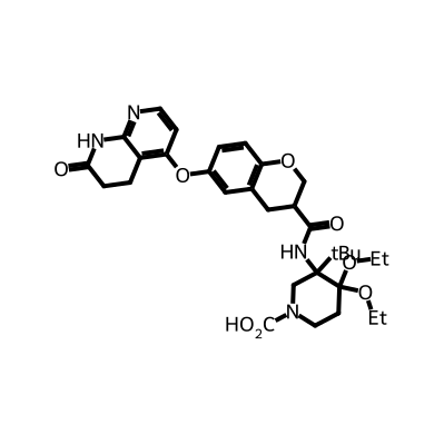 CCOC1(OCC)CCN(C(=O)O)CC1(NC(=O)C1COc2ccc(Oc3ccnc4c3CCC(=O)N4)cc2C1)C(C)(C)C